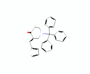 O=C1CCN(C(c2ccccc2)(c2ccccc2)c2ccccc2)C/C1=C\c1cccs1